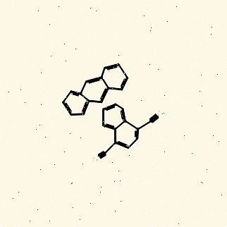 N#Cc1ccc(C#N)c2ccccc12.c1ccc2cc3ccccc3cc2c1